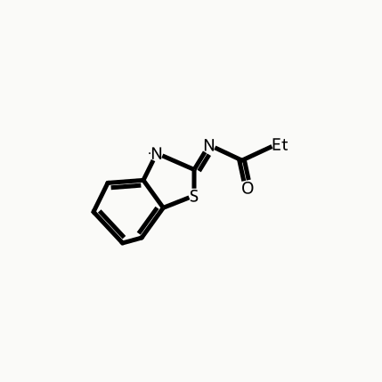 CCC(=O)N=C1[N]c2ccccc2S1